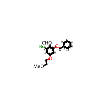 COCCOc1cc(Br)c(C=O)c(OCc2ccccc2)c1